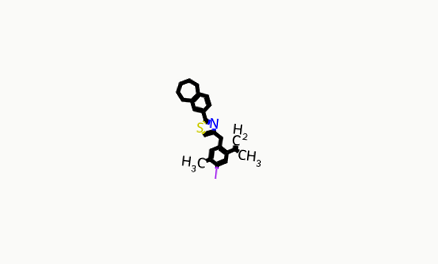 C=C(C)c1cc(I)c(C)cc1Cc1csc(-c2ccc3c(c2)CCCCC3)n1